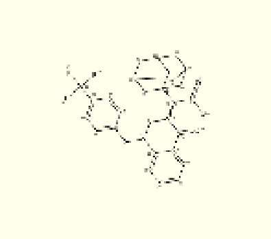 O=C(O)[C@@H](N1CN(Cc2ccc(C(F)(F)F)cc2)c2ccccc2C1=O)C12CC3CC(CC(C3)C1)C2